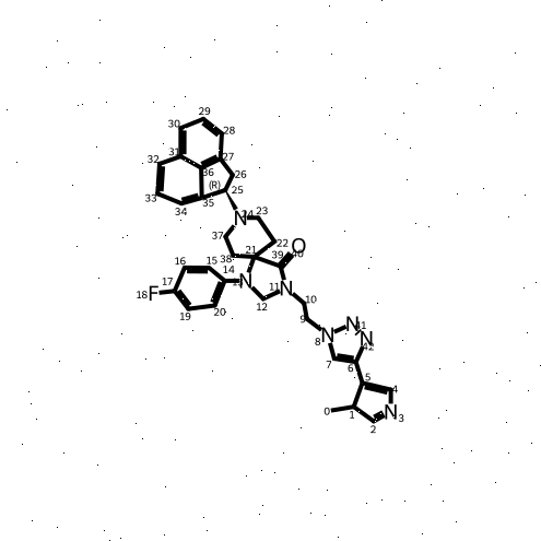 CC1C=NC=C1c1cn(CCN2CN(c3ccc(F)cc3)C3(CCN([C@@H]4Cc5cccc6cccc4c56)CC3)C2=O)nn1